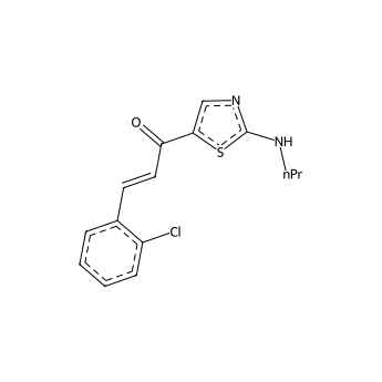 CCCNc1ncc(C(=O)/C=C/c2ccccc2Cl)s1